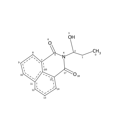 CCC(O)N1C(=O)c2cccc3cccc(c23)C1=O